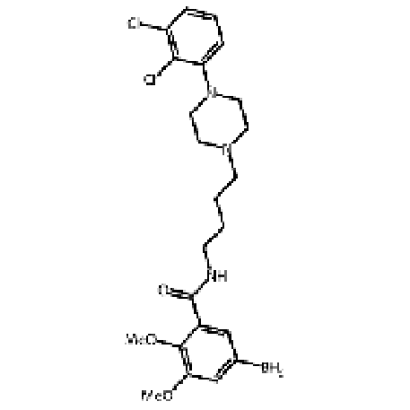 Bc1cc(OC)c(OC)c(C(=O)NCCCCN2CCN(c3cccc(Cl)c3Cl)CC2)c1